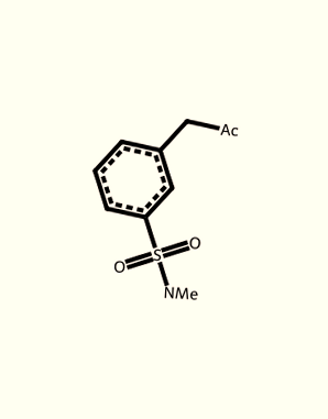 CNS(=O)(=O)c1cccc(CC(C)=O)c1